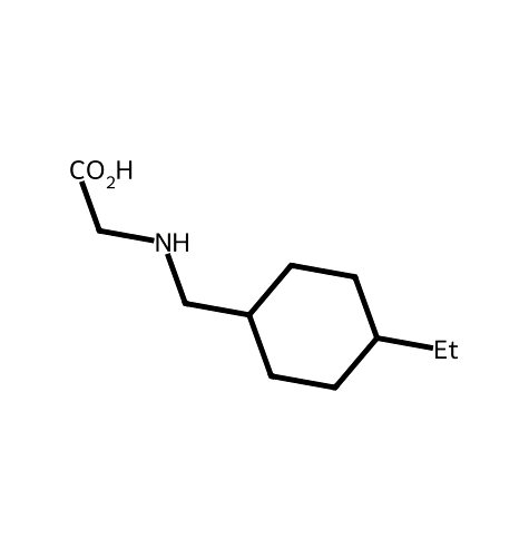 CCC1CCC(CNCC(=O)O)CC1